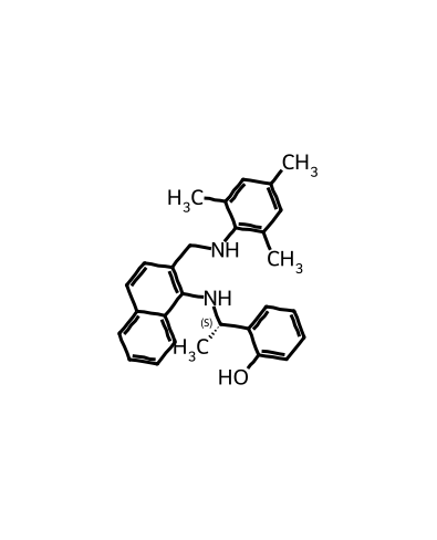 Cc1cc(C)c(NCc2ccc3ccccc3c2N[C@@H](C)c2ccccc2O)c(C)c1